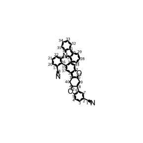 N#Cc1ccc2c(c1)C1=Cc3oc4ccc(-c5c(C#N)cccc5-n5c6ccccc6c6ccccc65)cc4c3CC1O2